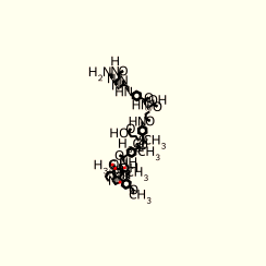 CC[C@]12C=CCN3CC[C@@]4(c5ccc(OC)cc5N(C)[C@H]4[C@@](O)(CNC(=O)c4ccc([Si](C)(C)O[Si](C)(CCCC(=O)O)c5ccc(NC(=O)CC[C@H](NC(=O)c6ccc(NCc7cnc8nc(N)[nH]c(=O)c8n7)cc6)C(=O)O)cc5)cc4)[C@@H]1O)[C@H]32